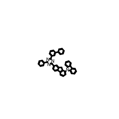 c1ccc(-c2cccc(-c3nc(-c4ccccc4)nc(-c4ccc5c(c4)Cc4c-5cccc4-n4c5ccccc5c5ccccc54)n3)c2)cc1